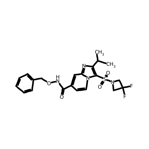 CC(C)c1nc2cc(C(=O)NOCc3ccccc3)ccn2c1S(=O)(=O)N1CC(F)(F)C1